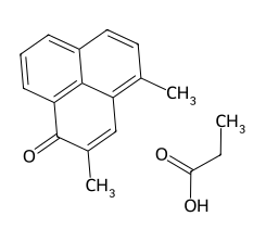 CC1=Cc2c(C)ccc3cccc(c23)C1=O.CCC(=O)O